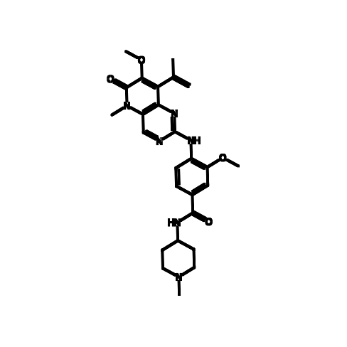 C=C(C)c1c(OC)c(=O)n(C)c2cnc(Nc3ccc(C(=O)NC4CCN(C)CC4)cc3OC)nc12